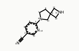 N#Cc1ccc(N2CCC3(CNC3)C2)nc1